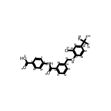 O=C(O)c1ccc(NC(=O)c2cccc(COc3ccc(C(F)(F)F)cc3Cl)c2)cc1